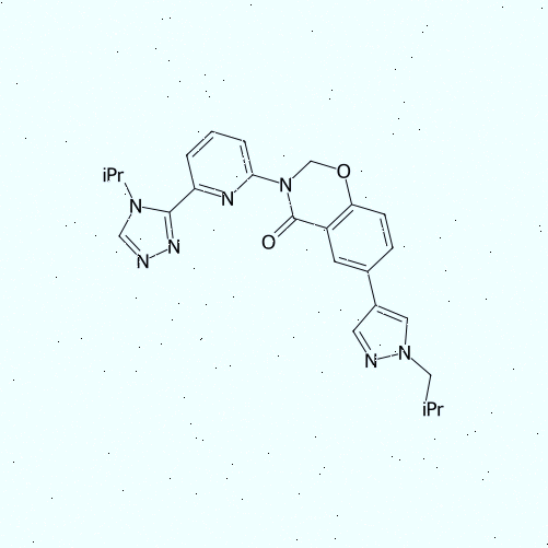 CC(C)Cn1cc(-c2ccc3c(c2)C(=O)N(c2cccc(-c4nncn4C(C)C)n2)CO3)cn1